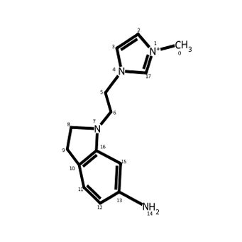 C[n+]1ccn(CCN2CCc3ccc(N)cc32)c1